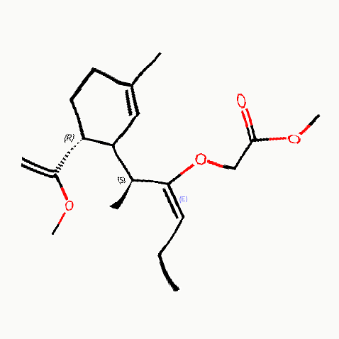 C=C(OC)[C@@H]1CCC(C)=CC1[C@H](C)/C(=C\CC)OCC(=O)OC